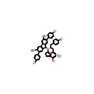 CC(C)(C)c1cc2c(cc1-c1ccc(Cl)cc1)[CH]([Zr+2]([C]1=CC=CC1)=[C](Cc1ccc(Cl)cc1)Cc1ccc(Cl)cc1)c1cc(-c3ccc(Cl)cc3)c(C(C)(C)C)cc1-2.[Cl-].[Cl-]